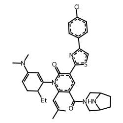 CCC1CC=C(N(C)C)C=C1n1c(C=C(C)C)c(C(=O)N2CC3CCC(C2)N3)cc(-c2nc(-c3ccc(Cl)cc3)cs2)c1=O